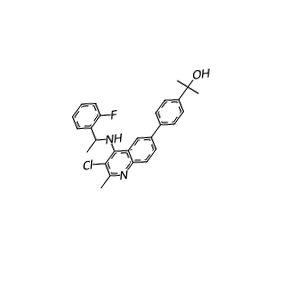 Cc1nc2ccc(-c3ccc(C(C)(C)O)cc3)cc2c(NC(C)c2ccccc2F)c1Cl